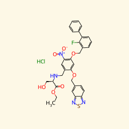 CCOC(=O)[C@@H](CO)NCc1cc([N+](=O)[O-])c(OCc2cccc(-c3ccccc3)c2F)cc1OCc1ccc2nsnc2c1.Cl